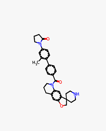 Cc1cc(N2CCCC2=O)ccc1-c1ccc(C(=O)N2CCCc3cc4c(cc32)C2(CCNCC2)CO4)cc1